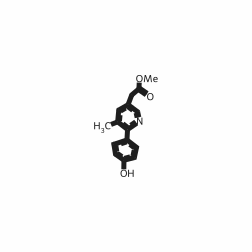 COC(=O)Cc1cnc(-c2ccc(O)cc2)c(C)c1